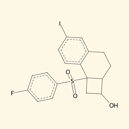 O=S(=O)(c1ccc(F)cc1)C12CC(O)C1CCc1cc(I)ccc12